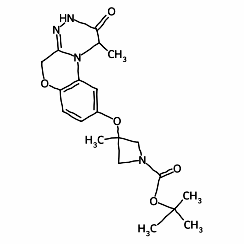 CC1C(=O)NN=C2COc3ccc(OC4(C)CN(C(=O)OC(C)(C)C)C4)cc3N21